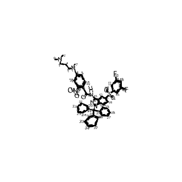 CN(C)CCCN(C)c1ccc(C(=O)Nc2nn(C(c3ccccc3)(c3ccccc3)c3ccccc3)c3ccc(S(=O)(=O)c4cc(F)cc(F)c4)cc23)c([N+](=O)[O-])c1